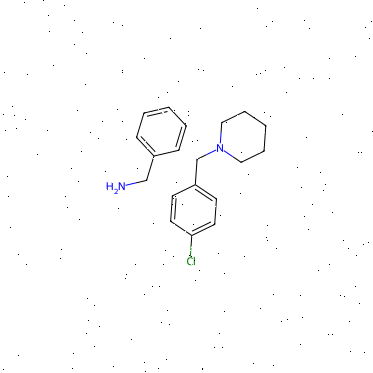 Clc1ccc(CN2CCCCC2)cc1.NCc1ccccc1